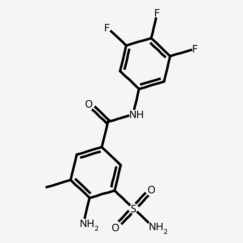 Cc1cc(C(=O)Nc2cc(F)c(F)c(F)c2)cc(S(N)(=O)=O)c1N